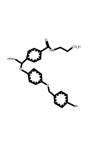 CCCCCCC(Oc1ccc(OCc2ccc(C(C)C)cc2)cc1)c1ccc(C(=O)NCCC(=O)O)cc1